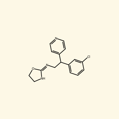 Clc1cccc(C(CN=C2NCCO2)c2ccncc2)c1